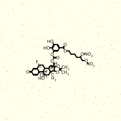 CC1(C)O[C@@H]2CC3C4C[C@H](F)C5=CC(=O)C=C[C@]5(C)[C@@]4(F)[C@@H](O)C[C@]3(C)[C@]2(C(=O)COC(=O)Oc2cc(C(=O)OCCCCC(CO[N+](=O)[O-])O[N+](=O)[O-])cc(O)c2O)O1